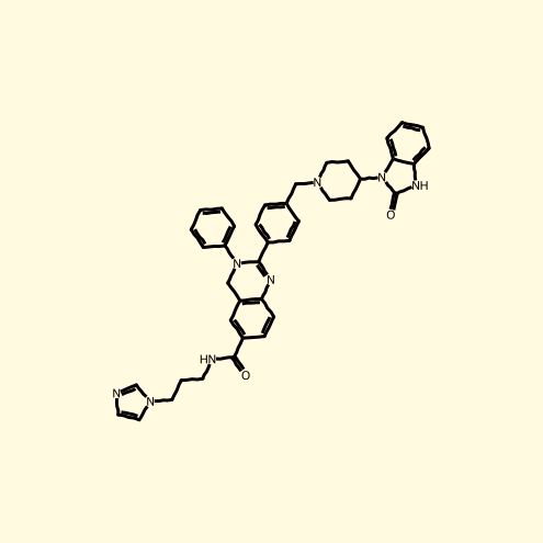 O=C(NCCCn1ccnc1)c1ccc2c(c1)CN(c1ccccc1)C(c1ccc(CN3CCC(n4c(=O)[nH]c5ccccc54)CC3)cc1)=N2